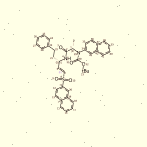 C[C@@H](C(=O)N[C@H](/C=C/S(=O)(=O)c1ccc2ccccc2c1)CCc1ccccc1)N(C(=O)OC(C)(C)C)c1ccc2ccccc2c1